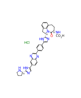 Cl.O=C(O)N[C@H]1CCc2cccc3c2N(C1=O)[C@H](c1ncc(-c2ccc(-c4cnc5cc(-c6cnc([C@@H]7CCCN7)[nH]6)ccc5n4)cc2)[nH]1)C3